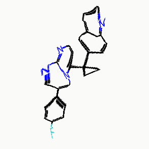 Fc1ccc(-c2cnc3ncc(C4(c5ccc6ncccc6c5)CC4)n3c2)cc1